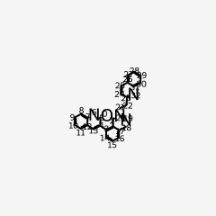 O=c1c2c(-c3cnc4ccccc4c3)cccc2cnn1CCc1ccc2ccccc2n1